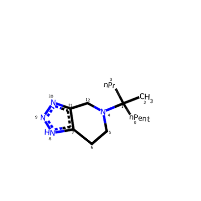 CCCCCC(C)(CCC)N1CCc2[nH]nnc2C1